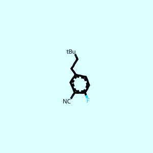 CC(C)(C)CCc1ccc(F)c(C#N)c1